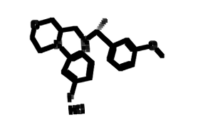 COc1cccc([C@@H](C)NCC2COCCN2c2cccc(F)c2)c1.Cl